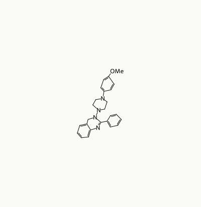 COc1ccc(N2CCN(N3Cc4ccccc4N=C3c3ccccc3)CC2)cc1